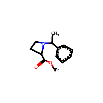 CC(C)OC(=O)C1CCN1C(C)c1ccccc1